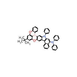 CC(C)(C)c1cc2c3c(c1)Oc1cc4c5c6ccccc6c(N(c6ccccc6)c6ccccc6)cc5n(-c5ccccc5)c4cc1B3c1ccccc1O2